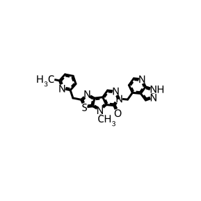 Cc1cccc(Cc2nc3c4cnn(Cc5ccnc6[nH]ncc56)c(=O)c4n(C)c3s2)n1